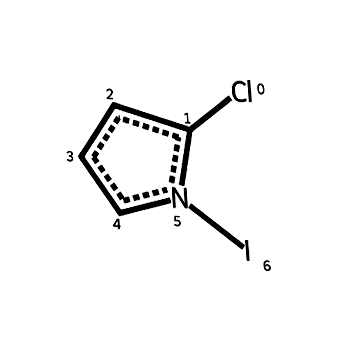 Clc1cccn1I